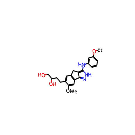 CCOc1cccc(Nc2[nH]nc3c2Cc2cc(CCC(O)CO)c(OC)cc2-3)c1